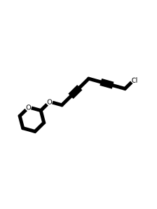 ClCC#CCC#CCOC1CCCCO1